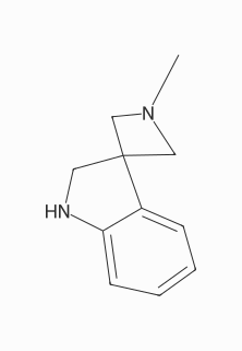 CN1CC2(CNc3ccccc32)C1